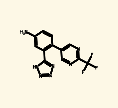 Nc1ccc(-c2cnc(C(F)(F)F)nc2)c(-c2nnn[nH]2)c1